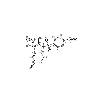 CSc1ccc(S(=O)(=O)N2C(C)=C(CC(=O)O)C3=CC(F)=CCC32)cc1